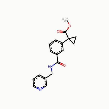 COC(=O)C1(c2cccc(C(=O)NCc3cccnc3)c2)CC1